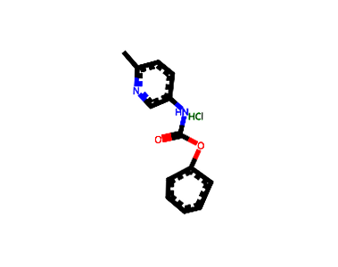 Cc1ccc(NC(=O)Oc2ccccc2)cn1.Cl